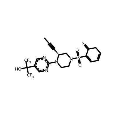 CC#C[C@H]1CN(S(=O)(=O)C2=CC=CCC2=S)CCN1c1ncc(C(O)(C(F)(F)F)C(F)(F)F)cn1